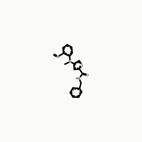 C=Nc1ccccc1N(C)c1csc(C(=O)NCc2ccccc2)c1